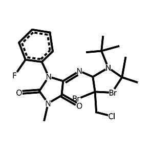 CN1C(=O)/C(=N\C(N(C(C)(C)C)C(C)(C)C)C(Br)(Br)CCl)N(c2ccccc2F)C1=O